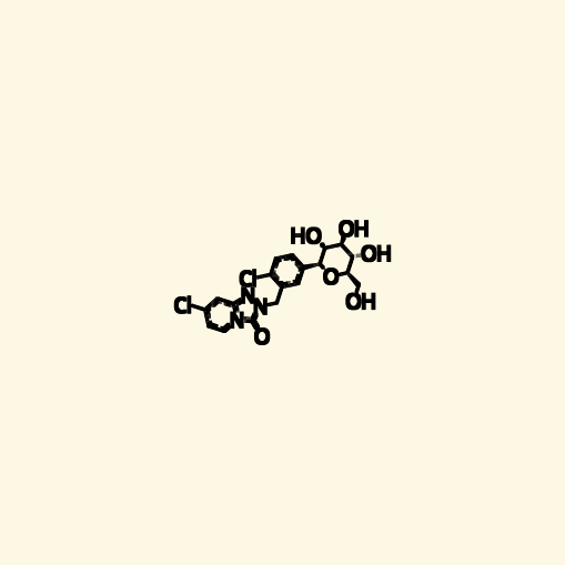 O=c1n(Cc2cc([C@@H]3O[C@H](CO)[C@@H](O)[C@H](O)[C@@H]3O)ccc2Cl)nc2cc(Cl)ccn12